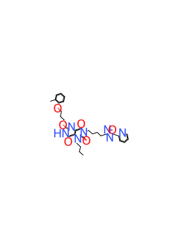 CCCCn1c(=O)n(CCCCc2noc(-c3ccccn3)n2)c(=O)c2nc(OCCCOc3ccccc3C)[nH]c(=O)c21